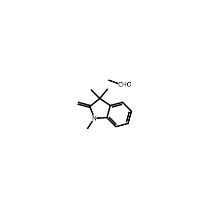 C=C1N(C)c2ccccc2C1(C)C.CC=O